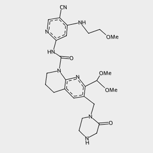 COCCNc1cc(NC(=O)N2CCCc3cc(CN4CCNCC4=O)c(C(OC)OC)nc32)ncc1C#N